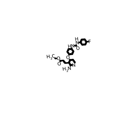 CCOC(=O)C=Cc1c(Oc2ccc(NC(=O)Nc3ccc(F)cc3)cc2)ccnc1N